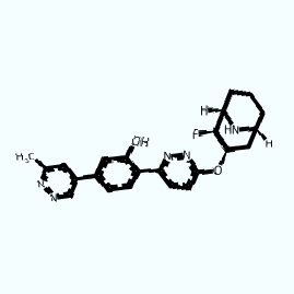 Cc1cc(-c2ccc(-c3ccc(O[C@@H]4C[C@H]5CCC[C@H](N5)[C@@H]4F)nn3)c(O)c2)cnn1